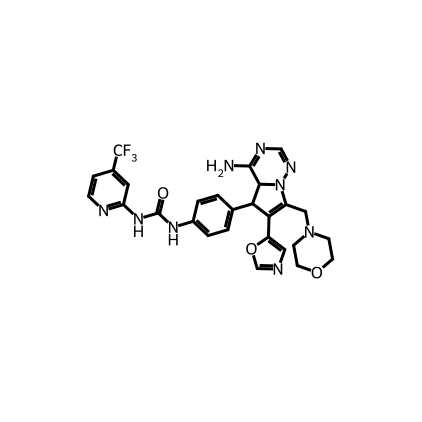 NC1=NC=NN2C(CN3CCOCC3)=C(c3cnco3)C(c3ccc(NC(=O)Nc4cc(C(F)(F)F)ccn4)cc3)C12